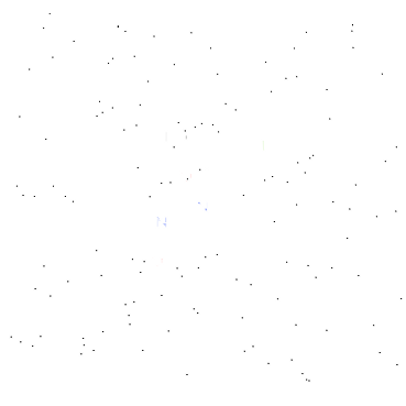 Cc1cc(F)ccc1Oc1cnc(CO)cn1